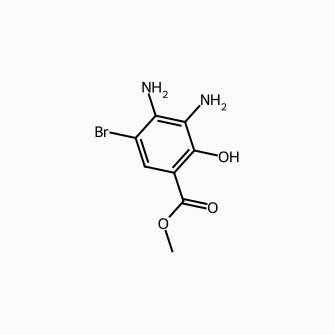 COC(=O)c1cc(Br)c(N)c(N)c1O